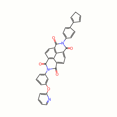 O=C1c2ccc3c4c(ccc(c24)C(=O)N1c1ccc(C2=CCC=C2)cc1)C(=O)N(c1cccc(Oc2ccccn2)c1)C3=O